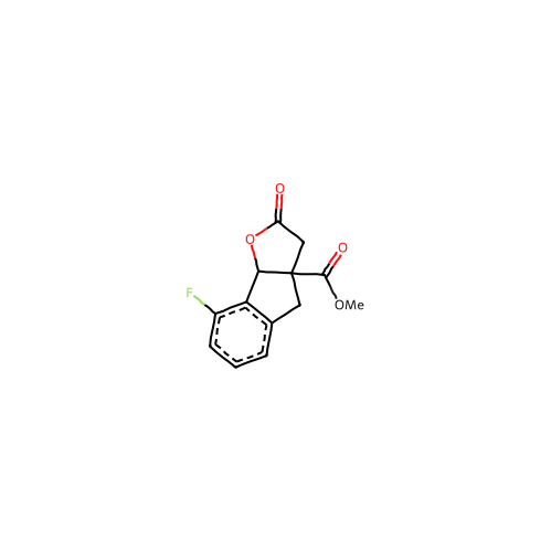 COC(=O)C12CC(=O)OC1c1c(F)cccc1C2